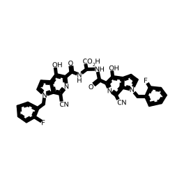 N#Cc1nc(C(=O)NC(NC(=O)c2nc(C#N)c3c(ccn3Cc3ccccc3F)c2O)C(=O)O)c(O)c2ccn(Cc3ccccc3F)c12